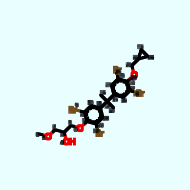 COCC(O)COc1c(Br)cc(C(C)(C)c2cc(Br)c(OCC3CC3)c(Br)c2)cc1Br